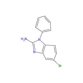 Nc1nc2cc(Br)ccc2n1-c1ccccc1